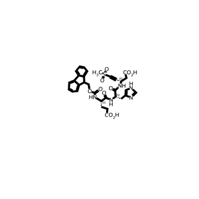 CS(=O)(=O)C#C[C@H](CC(=O)O)NC(=O)[C@H](Cc1c[nH]cn1)NC(=O)[C@H](CCC(=O)O)NC(=O)OCC1c2ccccc2-c2ccccc21